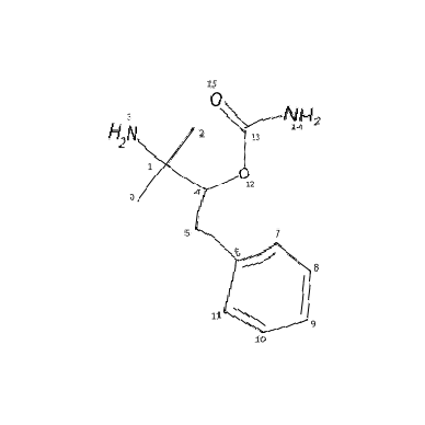 CC(C)(N)C(Cc1ccccc1)OC(N)=O